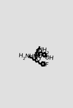 CC(N)CN1CN(NC(=O)C(CCCCN)CCCc2ccc(F)cc2)C(=O)C1Cc1ccc(O)cc1